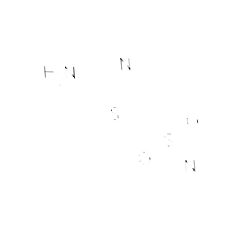 Cc1nc(N)sc1S(=O)(=O)N(C)C